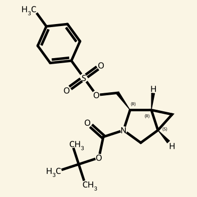 Cc1ccc(S(=O)(=O)OC[C@H]2[C@@H]3C[C@@H]3CN2C(=O)OC(C)(C)C)cc1